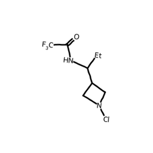 CCC(NC(=O)C(F)(F)F)C1CN(Cl)C1